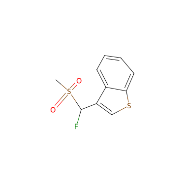 CS(=O)(=O)C(F)c1csc2ccccc12